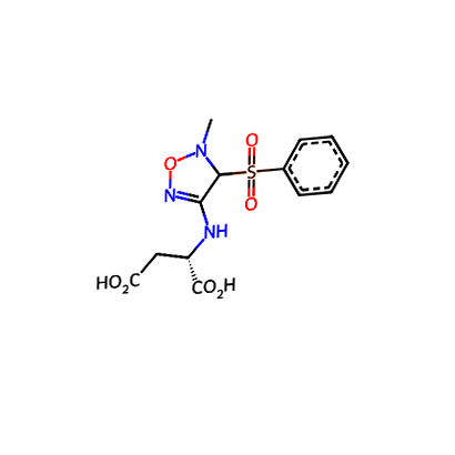 CN1ON=C(N[C@@H](CC(=O)O)C(=O)O)C1S(=O)(=O)c1ccccc1